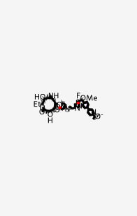 CC[C@H]1OC(=O)[C@H](C)[C@@H](O)[C@H](C)[C@@H](O[C@H]2C[C@@H](N(C)CCc3cn([C@H](CF)[C@H](OC)c4ccc(-c5ccc([S+](C)[O-])nc5)cc4)nn3)C[C@@H](C)O2)[C@](C)(OC)C[C@@H](C)C(=N)[C@H](C)[C@@H](O)[C@H]1C